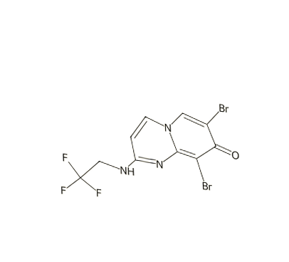 O=c1c(Br)cn2ccc(NCC(F)(F)F)nc2c1Br